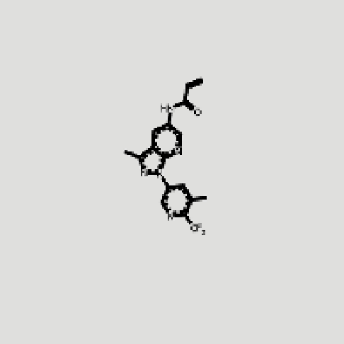 C=CC(=O)Nc1cnc2c(c1)c(C)nn2-c1cnc(C(F)(F)F)c(C)c1